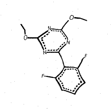 COc1nc(OC)nc(-c2c(F)cccc2F)n1